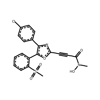 CN(O)C(=O)C#Cc1nc(-c2ccc(Cl)cc2)c(-c2ccccc2S(C)(=O)=O)o1